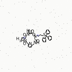 C/C=C1\NC(=O)c2cccc(n2)CNC(=O)C[C@@H](/C=C/CCSC(c2ccccc2)(c2ccccc2)c2ccccc2)OC(=O)[C@H](CC)NC1=O